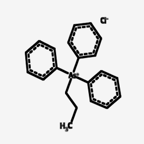 CCC[As+](c1ccccc1)(c1ccccc1)c1ccccc1.[Cl-]